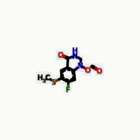 CSc1cc2c(cc1F)N(OC=O)CNC2=O